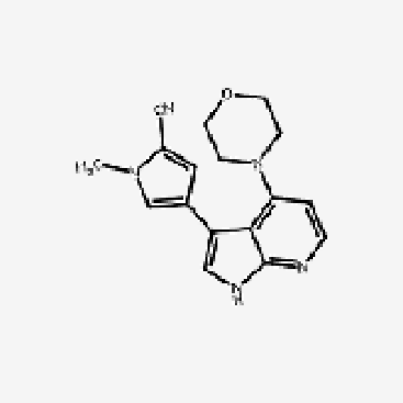 Cn1cc(-c2c[nH]c3nccc(N4CCOCC4)c23)cc1C#N